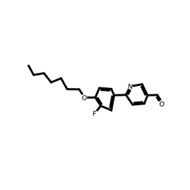 CCCCCCCOc1ccc(-c2ccc(C=O)cn2)cc1F